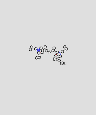 CCC1(c2ccc(C(C)(C)C)cc2)c2ccccc2-c2c(N(c3ccc(-c4cccc5ccccc45)cc3)c3ccc(-c4cc(CC(C)(C)c5ccc(C6(c7ccccc7)c7ccccc7-c7c(N(c8ccc(-c9cccc%10ccccc9%10)cc8)c8ccc(-c9cccc%10ccccc9%10)cc8)cccc76)cc5)cc5ccccc45)cc3)cccc21